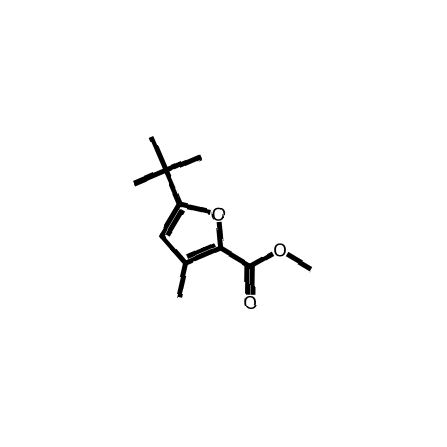 COC(=O)c1oc(C(C)(C)C)cc1C